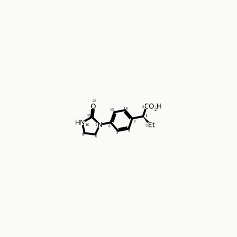 CC[C@H](C(=O)O)c1ccc(N2CCNC2=O)cc1